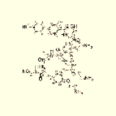 Cc1nc(-c2ccc(C(C)(C)C)cc2)nc(C)c1C(=O)N[C@@H](CO)C(=O)N[C@@H](CCN)C(=O)N(C)[C@@H]1C(=O)N[C@@H](C)C(=O)N[C@H](C(=O)NCC#N)Cc2ccc(OCCN)c(c2)-c2cc1ccc2OCCN